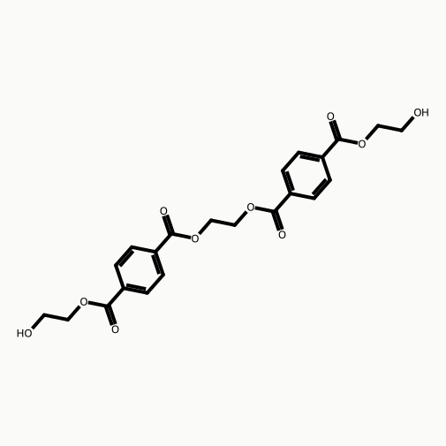 O=C(OCCO)c1ccc(C(=O)OCCOC(=O)c2ccc(C(=O)OCCO)cc2)cc1